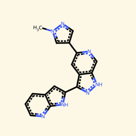 Cn1cc(-c2cc3c(-c4cc5cccnc5[nH]4)n[nH]c3cn2)cn1